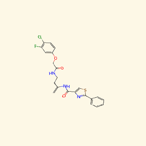 C=C(CCNC(=O)COc1ccc(Cl)c(F)c1)NC(=O)c1csc(-c2ccccc2)n1